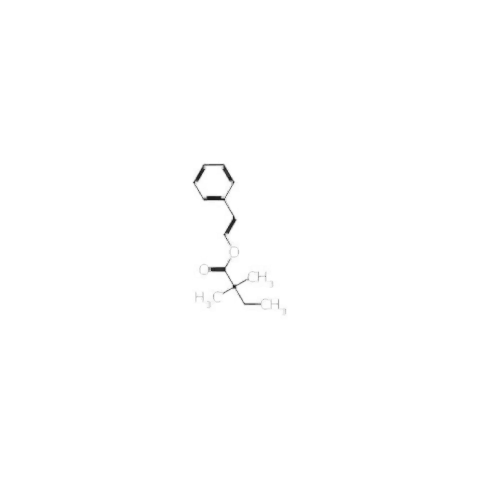 CCC(C)(C)C(=O)OC=Cc1ccccc1